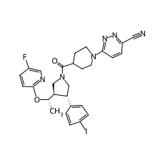 C[C@H](Oc1ccc(F)cn1)[C@H]1CN(C(=O)C2CCN(c3ccc(C#N)nn3)CC2)C[C@@H]1c1ccc(I)cc1